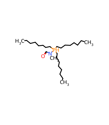 CCCCCCCC[PH](CCCCCCCC)(CCCCCCCC)N(C)C=O